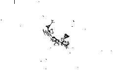 Cn1c(-c2cc(F)cnc2OC2CC2)cc2cc(NC(=O)C3CC3F)ncc21